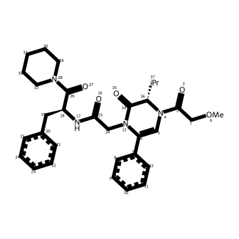 COCC(=O)N1C=C(c2ccccc2)N(CC(=O)N[C@@H](Cc2ccccc2)C(=O)N2CCCCC2)C(=O)[C@@H]1C(C)C